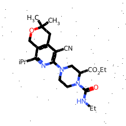 CCNC(=O)N1CCN(c2nc(C(C)C)c3c(c2C#N)CC(C)(C)OC3)CC1C(=O)OCC